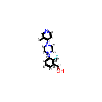 Cc1cnccc1N1CCN(c2cccc(CO)c2F)CC1